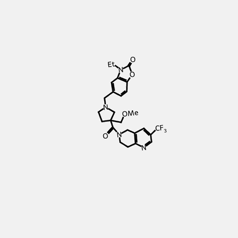 CCn1c(=O)oc2ccc(CN3CCC(COC)(C(=O)N4CCc5ncc(C(F)(F)F)cc5C4)C3)cc21